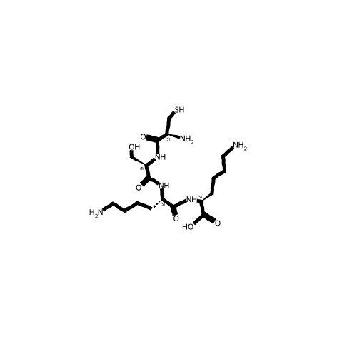 NCCCC[C@H](NC(=O)[C@H](CCCCN)NC(=O)[C@@H](CO)NC(=O)[C@H](N)CS)C(=O)O